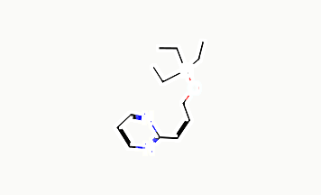 CC[Si](CC)(CC)OC/C=C\c1ncccn1